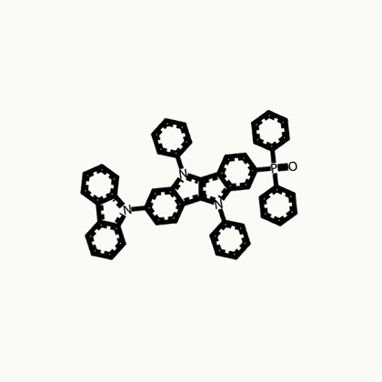 O=P(c1ccccc1)(c1ccccc1)c1ccc2c(c1)n(-c1ccccc1)c1c3ccc(-n4c5ccccc5c5ccccc54)cc3n(-c3ccccc3)c21